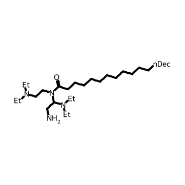 CCCCCCCCCCCCCCCCCCCCCC(=O)N(CCN(CC)CC)C(CN)N(CC)CC